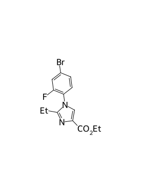 CCOC(=O)c1cn(-c2ccc(Br)cc2F)c(CC)n1